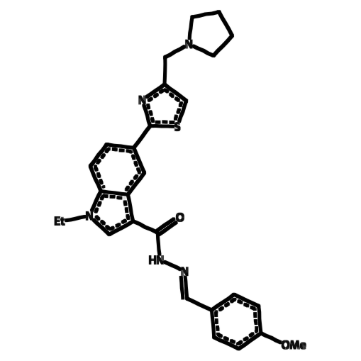 CCn1cc(C(=O)N/N=C/c2ccc(OC)cc2)c2cc(-c3nc(CN4CCCC4)cs3)ccc21